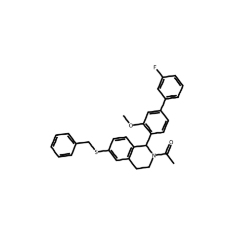 COc1cc(-c2cccc(F)c2)ccc1C1c2ccc(SCc3ccccc3)cc2CCN1C(C)=O